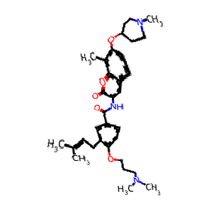 CC(C)=CCc1cc(C(=O)Nc2cc3ccc(OC4CCN(C)CC4)c(C)c3oc2=O)ccc1OCCCN(C)C